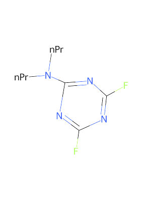 CCCN(CCC)c1nc(F)nc(F)n1